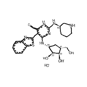 Cl.O=c1[nH]c(N[C@@H]2CCCNC2)nc(N[C@@H]2C[C@H](CO)[C@@H](O)[C@H]2O)c1-c1nc2ccccc2s1